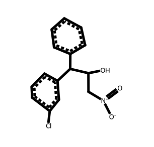 O=[N+]([O-])CC(O)C(c1ccccc1)c1cccc(Cl)c1